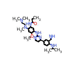 C=CC(=O)Nc1cc(Nc2nccc(-c3ccc(NC(C)C)c(C=N)c3)n2)c(OC)cc1N(C)CCN(C)C